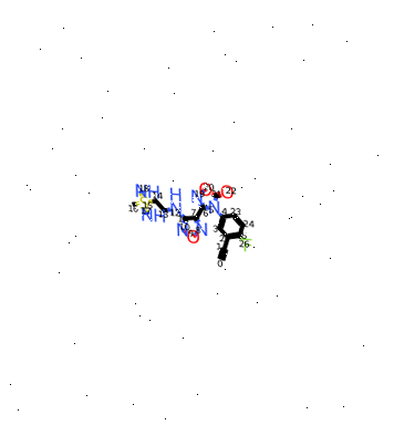 C#Cc1cc(-n2c(-c3nonc3NCCS(C)(=N)=N)noc2=O)ccc1F